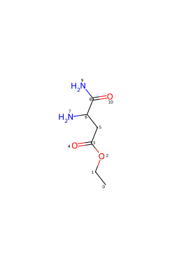 CCOC(=O)CC(N)C(N)=O